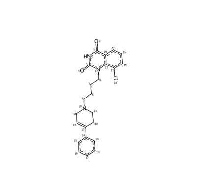 O=c1[nH]c(=O)n(CCCCN2CC=C(c3ccccc3)CC2)c2c(Cl)cccc12